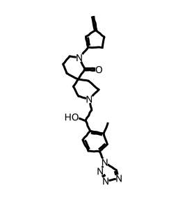 C=C1C=C(N2CCCC3(CCN(CC(O)c4ccc(-n5cnnn5)cc4C)CC3)C2=O)CC1